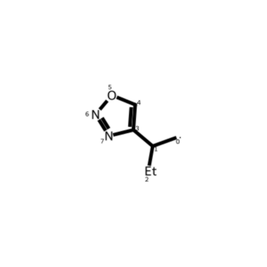 [CH2]C(CC)c1conn1